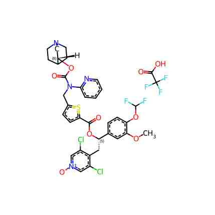 COc1cc([C@H](Cc2c(Cl)c[n+]([O-])cc2Cl)OC(=O)c2ccc(CN(C(=O)O[C@H]3CN4CCC3CC4)c3ccccn3)s2)ccc1OC(F)F.O=C(O)C(F)(F)F